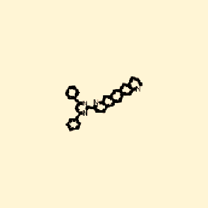 c1ccc(-c2cc(-c3ccccc3)nc(-c3ccc4cc5cc6cc7ncccc7cc6cc5cc4n3)n2)cc1